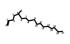 C=CCCC(C)CCCCCCCCCCCC